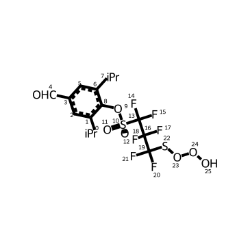 CC(C)c1cc(C=O)cc(C(C)C)c1OS(=O)(=O)C(F)(F)C(F)(F)C(F)(F)SOOO